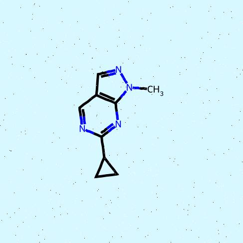 Cn1ncc2cnc(C3CC3)nc21